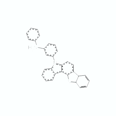 C1=CC2Sc3c(ccc4c3c3ccccc3n4-c3cccc([SiH2]c4ccccc4)c3)C2C=C1